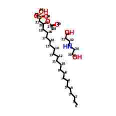 CCCCCCCCCCCCCCCCCCCCC(CS(=O)(=O)O)OC(C)=O.OCCNCCO